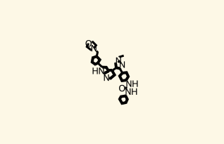 CCn1cc(-c2ccnc3[nH]c(-c4cccc(CN5CCOCC5)c4)cc23)c(-c2ccc(NC(=O)Nc3ccccc3)cc2)n1